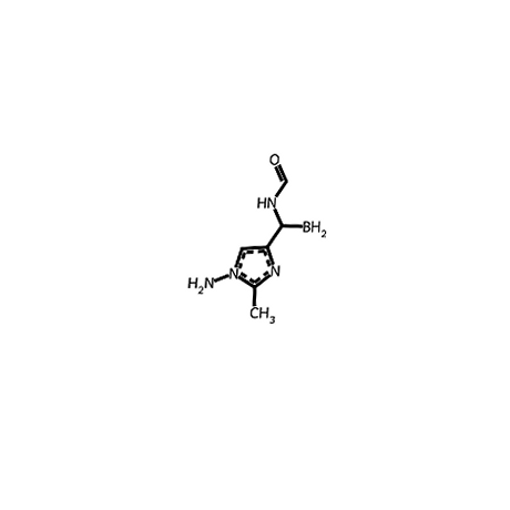 BC(NC=O)c1cn(N)c(C)n1